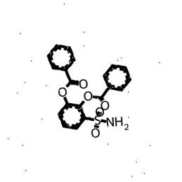 NS(=O)(=O)c1cccc(OC(=O)c2ccccc2)c1OC(=O)c1ccccc1